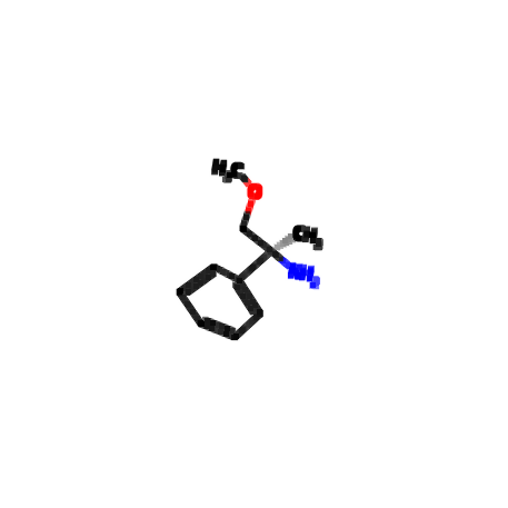 COC[C@@](C)(N)c1ccccc1